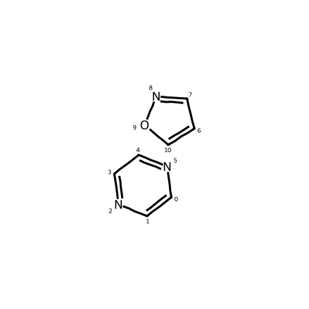 c1cnccn1.c1cnoc1